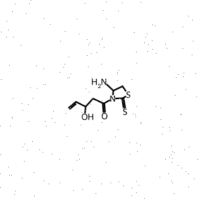 C=CC(O)CC(=O)N1C(=S)SCC1N